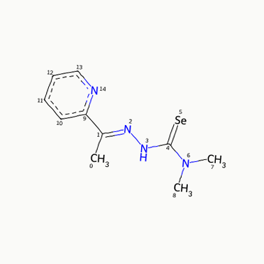 CC(=NNC(=[Se])N(C)C)c1ccccn1